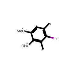 COc1cc(C)c(I)c(C)c1C=O